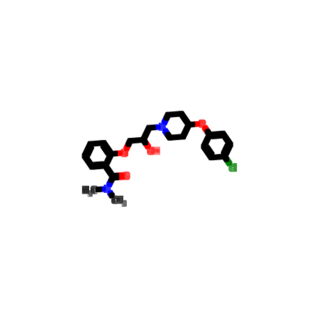 CN(C)C(=O)c1ccccc1OCC(O)CN1CCC(Oc2ccc(Cl)cc2)CC1